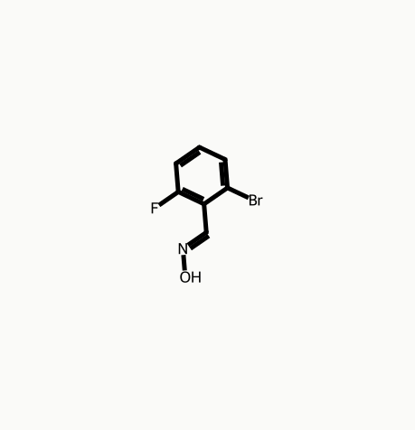 O/N=C/c1c(F)cccc1Br